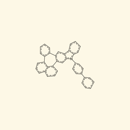 c1ccc(-c2ccc(-n3c4ccccc4c4cc5c(cc43)-c3cccc4cccc(c34)-c3ccccc3-5)cc2)cc1